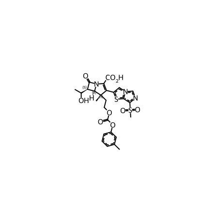 Cc1cccc(OC(=O)OCC[C@@]2(C)C(c3cn4cnc(S(C)(=O)=O)c4s3)=C(C(=O)O)N3C(=O)[C@H](C(C)O)[C@@H]32)c1